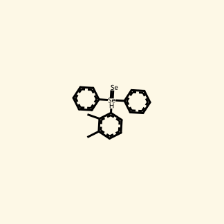 Cc1cccc([SeH](=[Se])(c2ccccc2)c2ccccc2)c1C